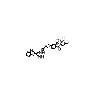 N=C/C(=C\NC1CC(CCNc2ccc3c(c2)C(=O)N(C2CCC(=O)NC2=O)C3=O)C1)c1cnc2ccccc2n1